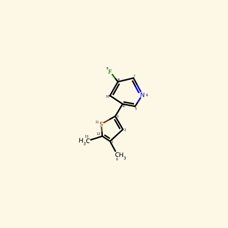 Cc1cc(-c2cncc(F)c2)sc1C